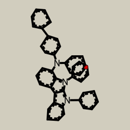 c1ccc(-c2ccc(N(c3ccccc3)c3cccc4c5c6ccccc6n(-c6ccccc6)c5n(-c5ccccc5)c34)cc2)cc1